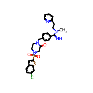 CN(CCc1ccccn1)C(=N)c1ccc(CN2CCN(S(=O)(=O)c3cc4ccc(Cl)cc4s3)CC2=O)cc1